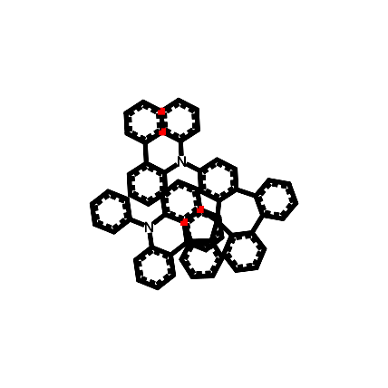 c1ccc(-c2ccccc2N(c2ccccc2)c2ccc3c(c2)C2(c4ccccc4-c4ccccc4-3)c3ccccc3-c3c(N(c4ccccc4)c4ccccc4-c4ccccc4)cccc32)cc1